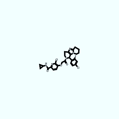 O=C(NC1CC1)c1ccc(OCC(=O)N2CCc3nc4n(c3C2c2ccc(Cl)cc2F)CCCC4)c(Cl)n1